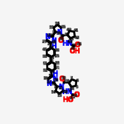 O=C(O)N[C@H]1CCC[C@@H]1C(=O)N1CCCC1c1ncc(-c2ccc(-c3ccc(-c4cnc(C5CCCN5C(=O)[C@H]5CCC[C@@H]5NC(=O)O)[nH]4)cc3)cc2)[nH]1